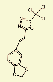 ClC(Cl)(Cl)c1nnc(C=Cc2ccc3c(c2)OCO3)o1